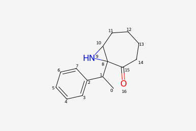 CC(c1ccccc1)C12NC1CCCCC2=O